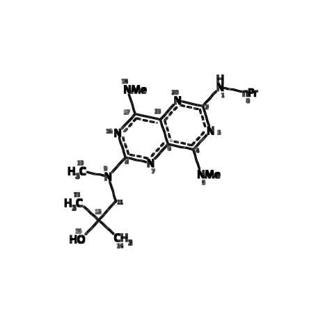 CCCNc1nc(NC)c2nc(N(C)CC(C)(C)O)nc(NC)c2n1